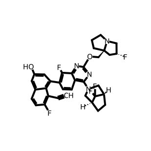 C#Cc1c(F)ccc2cc(O)cc(-c3ccc4c(N5C[C@H]6CC[C@@H](C5)C6(F)F)nc(OC[C@@]56CCCN5C[C@H](F)C6)nc4c3F)c12